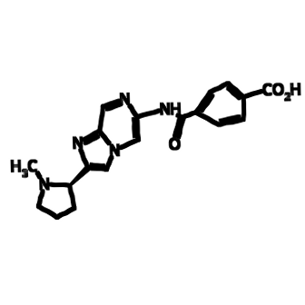 CN1CCC[C@@H]1c1cn2cc(NC(=O)c3ccc(C(=O)O)cc3)ncc2n1